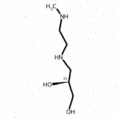 CNCCNC[C@H](O)CO